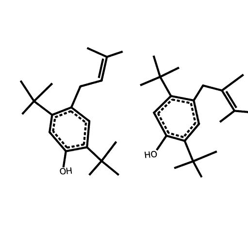 CC(C)=C(C)Cc1cc(C(C)(C)C)c(O)cc1C(C)(C)C.CC(C)=CCc1cc(C(C)(C)C)c(O)cc1C(C)(C)C